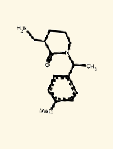 COc1ccc(C(C)N2CCC[C@H](CN)C2=O)cc1